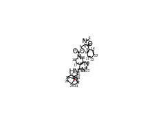 O=C(OCc1ncoc1-c1ccccc1)N1CCc2c(ncnc2NCC23CC4CC(CC(C4)C2)C3)C1